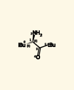 CC[C@@H](C)[C@@H](N)C(=O)C(C)(C)C